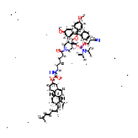 COc1ccc(C(OCC2(COP(OCCC#N)N(C(C)C)C(C)C)CCN(C(=O)CCCCCNC(=O)OC3CC[C@@]4(C)C(=CC[C@H]5[C@@H]6CC[C@H]([C@H](C)CCCC(C)C)[C@@]6(C)CC[C@@H]54)C3)CC2)(c2ccccc2)c2ccc(OC)cc2)cc1